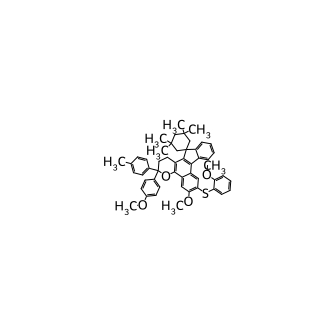 COc1ccc(C2(c3ccc(C)cc3)CCc3c4c(c5cc(Sc6ccccc6OC)c(OC)cc5c3O2)-c2ccccc2C42CC(C)(C)CC(C)(C)C2)cc1